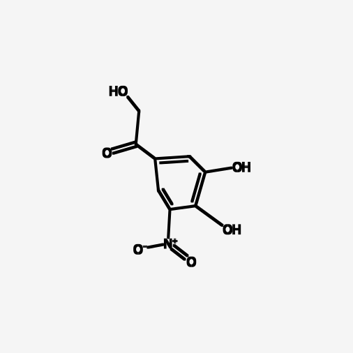 O=C(CO)c1cc(O)c(O)c([N+](=O)[O-])c1